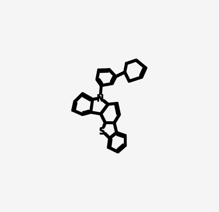 C1=CCC(c2cccc(N3c4ccccc4C4C5Sc6ccccc6C5C=CC43)c2)CC1